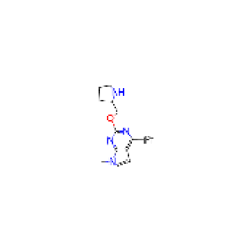 CC(C)c1nc(OCC2CCCN2)nc2c1ccn2C